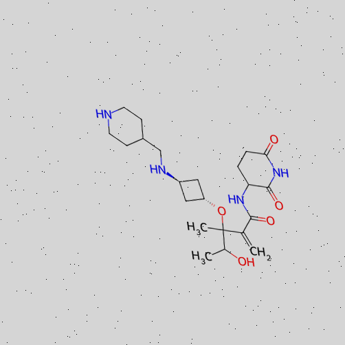 C=C(C(=O)NC1CCC(=O)NC1=O)C(C)(O[C@H]1C[C@H](NCC2CCNCC2)C1)C(C)O